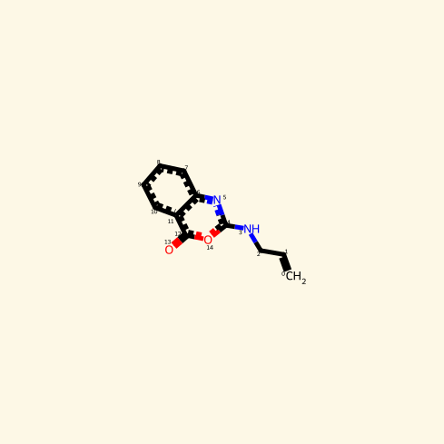 C=CCNc1nc2ccccc2c(=O)o1